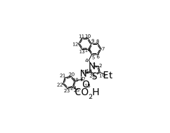 CCc1cn(Cc2cccc3ccccc23)c(=NC(=O)c2ccccc2C(=O)O)s1